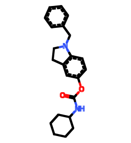 O=C(NC1CCCCC1)Oc1ccc2c(c1)CCN2Cc1ccccc1